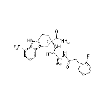 CCC(C)[C@H](NC(=O)Cc1ccccc1F)C(=O)N[C@]1(C(N)=O)CCc2[nH]c3c(C(F)(F)F)cccc3c2C1